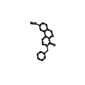 COc1ccc2cnc3c(=O)n(Cc4ccccc4)ncc3c2c1